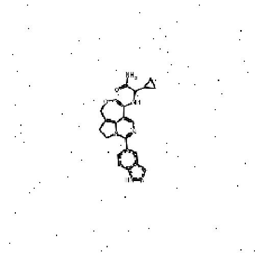 NC(=O)C(NC1=COCC2=C3C1=CN=C(c1ccc4[nH]ncc4c1)N3CC2)C1CC1